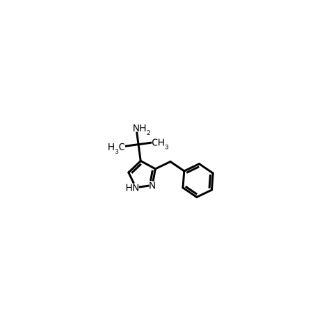 CC(C)(N)c1c[nH]nc1Cc1ccccc1